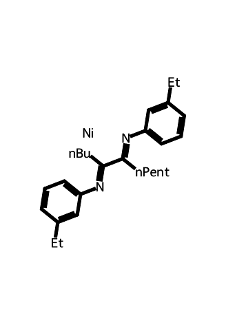 CCCCCC(=N\c1cccc(CC)c1)/C(CCCC)=N/c1cccc(CC)c1.[Ni]